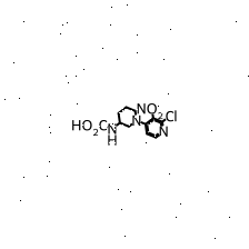 O=C(O)NC1CCCN(c2ccnc(Cl)c2[N+](=O)[O-])C1